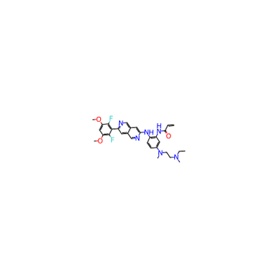 C=CC(=O)Nc1cc(N(C)CCN(C)CC)ccc1Nc1cc2cnc(-c3c(F)c(OC)cc(OC)c3F)cc2cn1